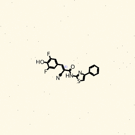 N#C/C(=C\c1cc(F)c(O)c(F)c1)C(=O)Nc1nc(-c2ccccc2)cs1